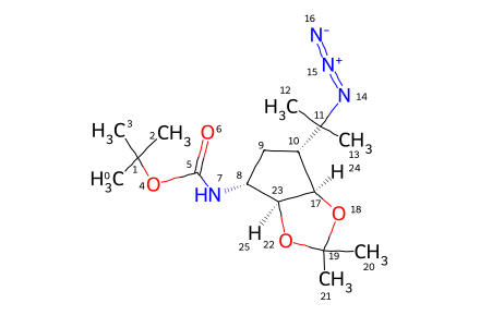 CC(C)(C)OC(=O)N[C@@H]1C[C@H](C(C)(C)N=[N+]=[N-])[C@H]2OC(C)(C)O[C@H]21